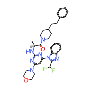 C[C@H](Nc1nc(N2CCOCC2)cc(-n2c(C(F)F)nc3ccccc32)n1)C(=O)N1CCC(CCc2ccccc2)CC1